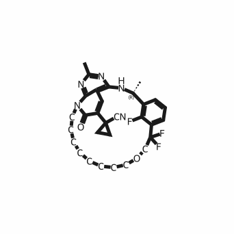 Cc1nc2c3cc(C4(C#N)CC4)c(=O)n(c3n1)CCCCCCCCOCC(F)(F)c1cccc(c1F)[C@@H](C)N2